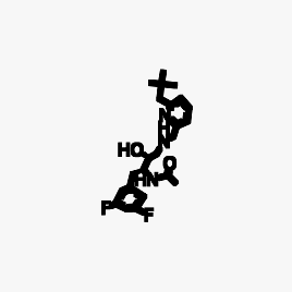 CC(=O)N[C@@H](Cc1cc(F)cc(F)c1)[C@@H](O)CNCc1cccc(CC(C)(C)C)n1